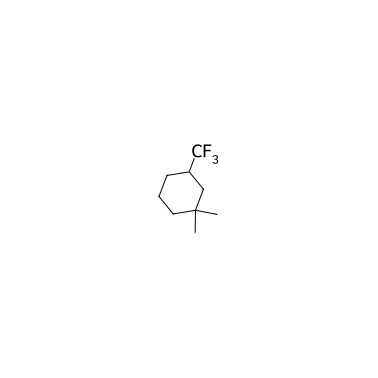 CC1(C)CCCC(C(F)(F)F)C1